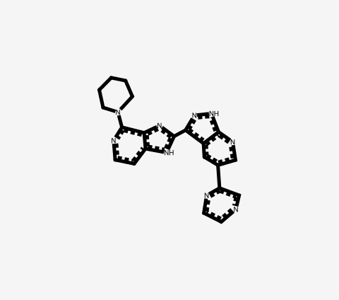 c1cnc(-c2cnc3[nH]nc(-c4nc5c(N6CCCCC6)nccc5[nH]4)c3c2)cn1